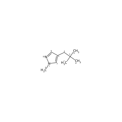 Cn1cc(CC(C)(C)C)cn1